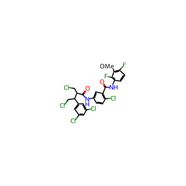 COc1c(F)ccc(NC(=O)c2cc(NC(=O)C(CCl)C(CCl)c3cc(Cl)cc(Cl)c3)ccc2Cl)c1F